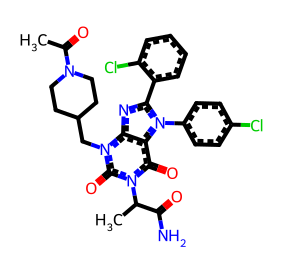 CC(=O)N1CCC(Cn2c(=O)n(C(C)C(N)=O)c(=O)c3c2nc(-c2ccccc2Cl)n3-c2ccc(Cl)cc2)CC1